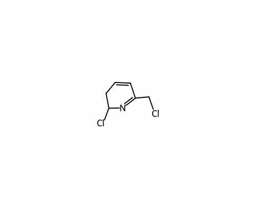 ClCC1=NC(Cl)CC=C1